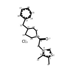 Cc1sc[n+](CC(=O)N2CCC(Cc3ccccc3)CC2)c1C.[Cl-]